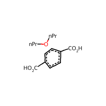 CCCOCCC.O=C(O)c1ccc(C(=O)O)cc1